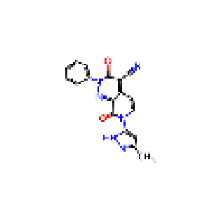 Cc1cc(-n2ccc3c(C#N)c(=O)n(-c4ccccc4)nc3c2=O)[nH]n1